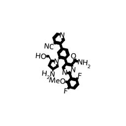 COc1c(F)ccc(F)c1-c1ncc(-c2ccc(-c3cnccc3C#N)cc2N2C[C@@H](N)C[C@H]2CO)c(C(N)=O)n1